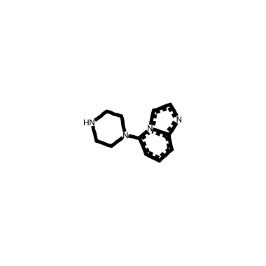 c1cc(N2CCNCC2)n2ccnc2c1